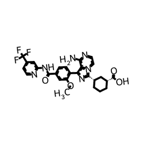 COc1cc(C(=O)Nc2cc(C(F)(F)F)ccn2)ccc1-c1nc([C@H]2CCC[C@@H](C(=O)O)C2)n2ccnc(N)c12